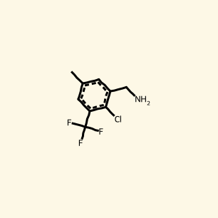 Cc1cc(CN)c(Cl)c(C(F)(F)F)c1